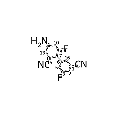 N#Cc1cc(F)cc(-c2c(F)cc(N)cc2C#N)c1